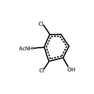 CC(=O)Nc1c(Cl)ccc(O)c1Cl